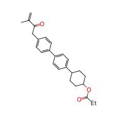 C=C(C)C(=O)Cc1ccc(-c2ccc(C3CCC(OC(=O)CC)CC3)cc2)cc1